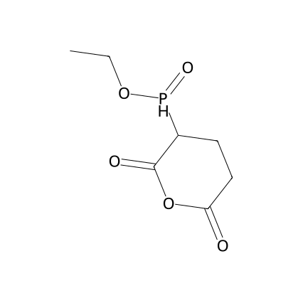 CCO[PH](=O)C1CCC(=O)OC1=O